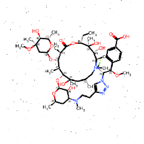 CC[C@H]1OC(=O)[C@H](C)[C@@H](O[C@H]2C[C@@](C)(OC)[C@@H](O)[C@H](C)O2)[C@H](C)[C@@H](O[C@@H]2O[C@H](C)C[C@H](N(C)CCc3cn([C@H](CF)[C@H](OC)c4ccc(C(=O)O)cc4)nn3)[C@H]2O)[C@](C)(O)C[C@@H](C)CN(C)[C@H](C)[C@@H](O)[C@]1(C)O